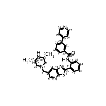 C[C@@H]1CN(Cc2cnc3sc(-c4ccccc4NC(=O)c4cccc(-c5ccncc5)c4)nc3c2)C[C@H](C)N1